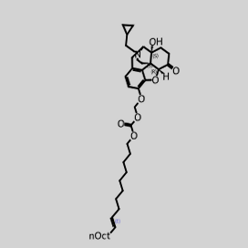 CCCCCCCC/C=C/CCCCCCCCOC(=O)OCOc1ccc2c3c1O[C@H]1C(=O)CC[C@@]4(O)C(C2)N(CC2CC2)CC[C@]314